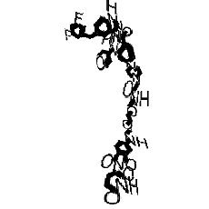 O=C(CN1CCN(c2ccc(C(=O)Nc3n[nH]c4ccc(Cc5cc(F)cc(F)c5)cc34)c(NC3CCOCC3)c2)CC1)NCOCCOCCNc1ccc2c(c1)C(=O)N(C1CCC(=O)NC1=O)C2=O